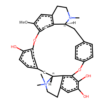 COc1cc2c3cc1Oc1cc(ccc1O)C[C@@H]1c4c(cc(O)c(O)c4Oc4ccc(cc4)C[C@@H]3N(C)CC2)CC[N+]1(C)C